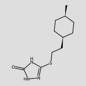 [CH2][C@H]1CC[C@@H](CCSc2n[nH]c(=O)[nH]2)CC1